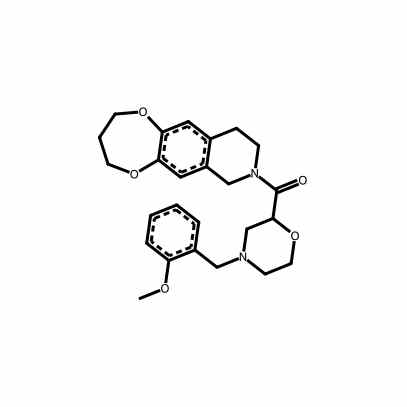 COc1ccccc1CN1CCOC(C(=O)N2CCc3cc4c(cc3C2)OCCCO4)C1